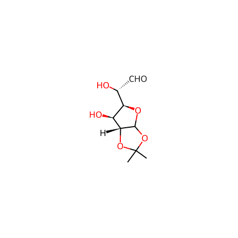 CC1(C)OC2O[C@H]([C@H](O)C=O)[C@H](O)[C@H]2O1